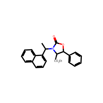 CCOC(=O)C1C(c2ccccc2)OC(=O)N1C(C)c1cccc2ccccc12